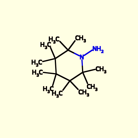 CC1(C)N(N)C(C)(C)C(C)(C)C(C)(C)C1(C)C